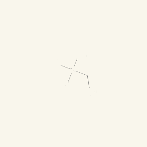 CCCC[N+](C)(CCCC)CC(C)CC